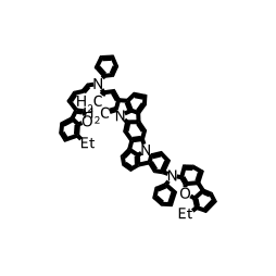 C=C(/C=c1\c(=C)n2c3cc4c5cccc6c7cc(N(c8ccccc8)c8cccc9c8oc8c(CC)cccc89)ccc7n(c4cc3c3cccc1c32)c65)N(/C=C/C=C\c1coc2c(CC)cccc12)c1ccccc1